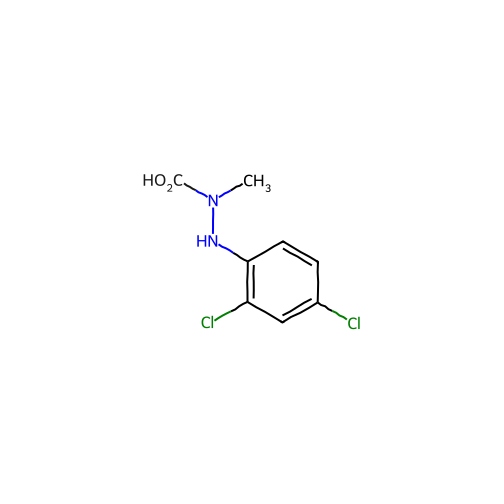 CN(Nc1ccc(Cl)cc1Cl)C(=O)O